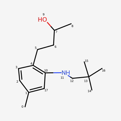 Cc1ccc(CCC(C)O)c(NCC(C)(C)C)c1